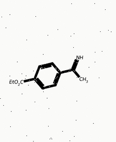 CCOC(=O)c1ccc(C(C)=N)cc1